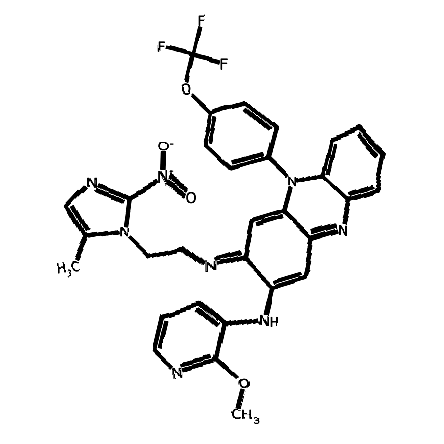 COc1ncccc1Nc1cc2nc3ccccc3n(-c3ccc(OC(F)(F)F)cc3)c-2cc1=NCCn1c(C)cnc1[N+](=O)[O-]